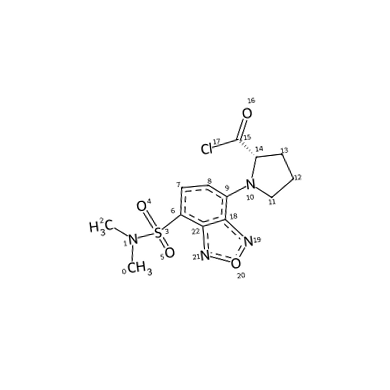 CN(C)S(=O)(=O)c1ccc(N2CCC[C@H]2C(=O)Cl)c2nonc12